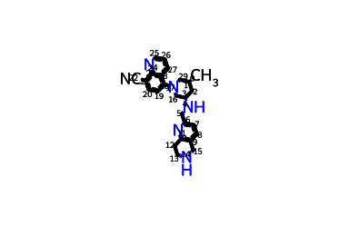 C[C@H]1C[C@@H](NCc2ccc3c(n2)CCNC3)CN(c2ccc(C#N)c3ncccc23)C1